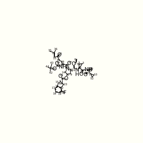 C=C[C@@H]1C[C@]1(NC(=O)[C@@H]1CC(OC(=O)N2Cc3cccc(F)c3C2)CN1C(=O)[C@H](CCC(=O)C=C(C)C)NC(=O)OC(C)(C)C)C(=O)NS(=O)(=O)C1CC1